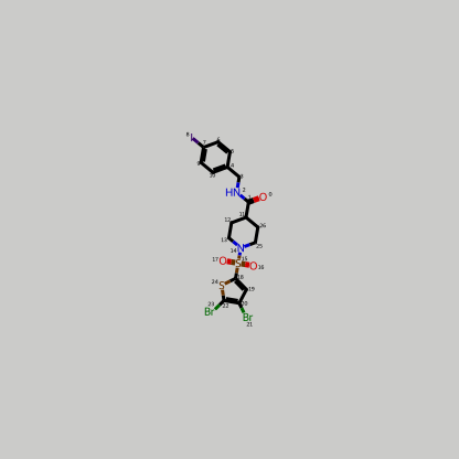 O=C(NCc1ccc(I)cc1)C1CCN(S(=O)(=O)c2cc(Br)c(Br)s2)CC1